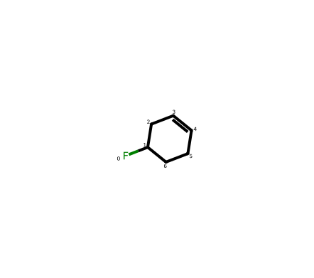 FC1CC=CCC1